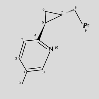 Cc1ccc([C@H]2C[C@@H]2CC(C)C)nc1